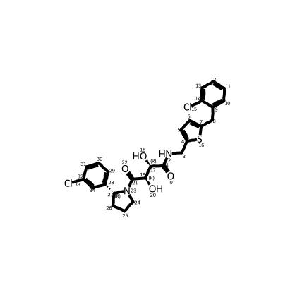 O=C(NCc1ccc(Cc2ccccc2Cl)s1)[C@H](O)[C@@H](O)C(=O)N1CCC[C@@H]1c1cccc(Cl)c1